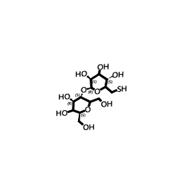 OCC1O[C@@H](CO)C(O)[C@@H](O)[C@@H]1O[C@@H]1OC(CS)[C@@H](O)C(O)[C@@H]1O